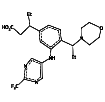 CCC(CC(=O)O)c1ccc([C@@H](CC)N2CCOCC2)c(Nc2cnc(C(F)(F)F)nc2)c1